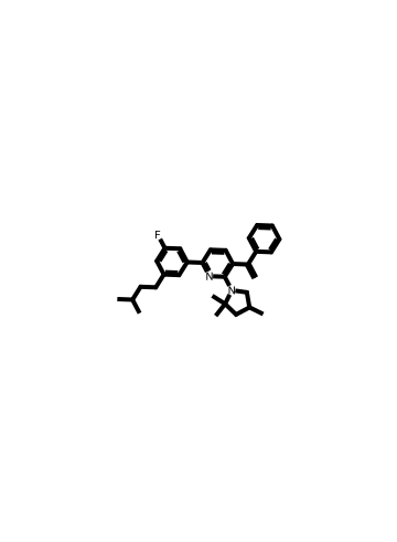 C=C(c1ccccc1)c1ccc(-c2cc(F)cc(CCC(C)C)c2)nc1N1CC(C)CC1(C)C